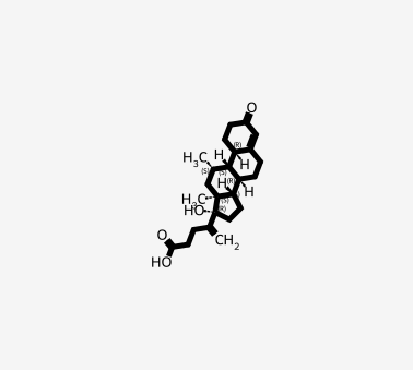 C=C(CCC(=O)O)[C@]1(O)CC[C@H]2[C@@H]3CCC4=CC(=O)CC[C@@H]4[C@H]3[C@@H](C)C[C@@]21C